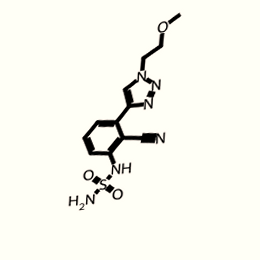 COCCn1cc(-c2cccc(NS(N)(=O)=O)c2C#N)nn1